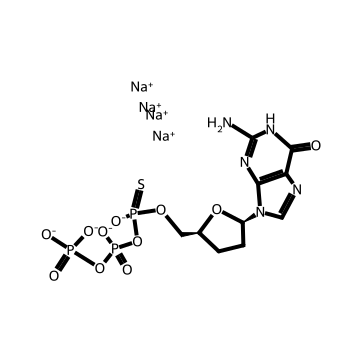 Nc1nc2c(ncn2[C@H]2CC[C@@H](COP([O-])(=S)OP(=O)([O-])OP(=O)([O-])[O-])O2)c(=O)[nH]1.[Na+].[Na+].[Na+].[Na+]